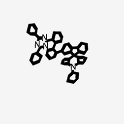 c1ccc(-c2nc(-c3ccccc3)nc(-c3ccccc3-c3ccccc3-c3ccc4c(c3)C3(c5ccccc5-4)c4ccccc4N(c4ccccc4)c4ccccc43)n2)cc1